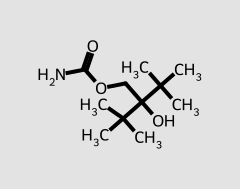 CC(C)(C)C(O)(COC(N)=O)C(C)(C)C